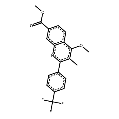 COC(=O)c1ccc2c(OC)c(C)c(-c3ccc(C(F)(F)F)cc3)nc2c1